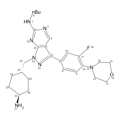 CCCCNc1ncc2c(-c3ccc(N4CCOCC4)c(F)c3)nn(C[C@H]3CC[C@H](N)CC3)c2n1